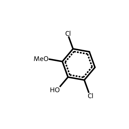 COc1c(Cl)ccc(Cl)c1O